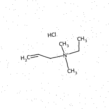 C=CC[N+](C)(C)CC.Cl